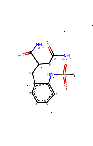 CS(=O)(=O)Nc1ccccc1CC(CC(N)=O)C(N)=O